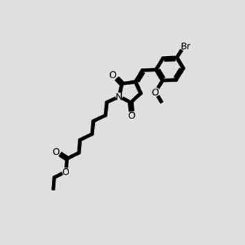 CCOC(=O)CCCCCCN1C(=O)CC(=Cc2cc(Br)ccc2OC)C1=O